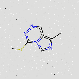 CSc1nncc2c(C)ncn12